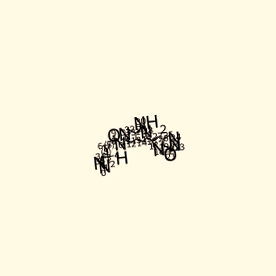 CN1CC(C)([C@H]2C[C@@H]2C(=O)Nc2cc3cc(-c4cnc5c(=O)n(C)ncc5c4)nc(N)c3cn2)C=N1